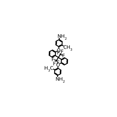 Cc1cc(N)ccc1Oc1ccccc1C(c1ccccc1Oc1ccc(N)cc1C)(C(F)(F)F)C(F)(F)F